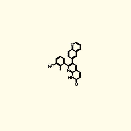 Cc1c(C#N)cccc1-c1nc2[nH]c(=O)ccc2cc1-c1ccc2ncccc2c1